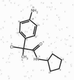 CC(Cl)(C(=O)NC1CCCC1)c1ccc(N)cc1